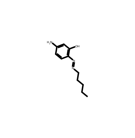 CCCCCN=Nc1ccc(N)cc1O